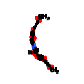 C=CC(=O)OCCCCCCOc1ccc(OCOc2ccc(/C=N/N=C/c3ccc(OC(=O)c4ccc(OCCCCCCOC(=O)C=C)cc4)cc3)cc2OCC)cc1